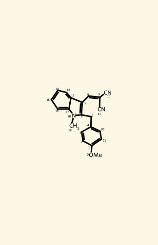 COc1ccc(Cc2c(C=C(C#N)C#N)c3ccccc3n2C)cc1